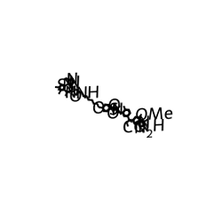 COc1cc(C(CC(=O)O)c2ccc(C)c(CN(C)S(=O)(=O)c3ccc(OCCCCCCNC(=O)C[C@@H]4N=C(C)c5c(sc(C)c5C)-n5c(C)nnc54)cc3)c2)cc2nnn(C)c12